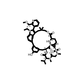 CCn1c(-c2cccnc2[C@H](C)OC)c2c3cc(ccc31)-c1cc(O)cc(c1)C[C@H](NC(=O)[C@H](C(C)C)N(C)C(=O)CN(C)S(=O)(=O)[C@H]1CN1)C(=O)N1CCC[C@H](N1)C(=O)OCC(C)(C)C2